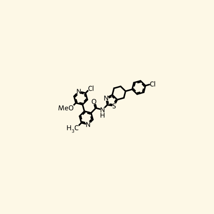 COc1cnc(Cl)cc1-c1cc(C)ncc1C(=O)Nc1nc2c(s1)CC(c1ccc(Cl)cc1)CC2